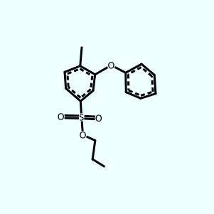 CCCOS(=O)(=O)c1ccc(C)c(Oc2ccccc2)c1